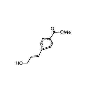 COC(=O)c1ccc(C=CCO)nc1